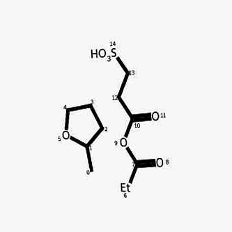 CC1CCCO1.CCC(=O)OC(=O)CCS(=O)(=O)O